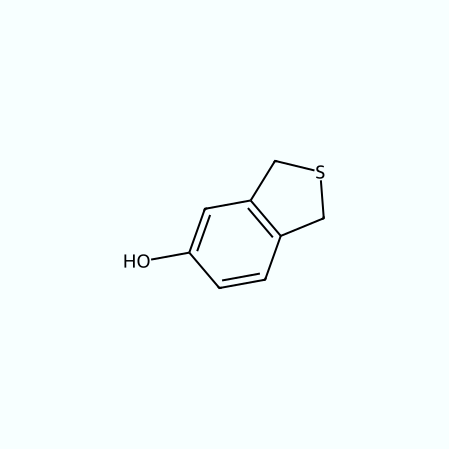 Oc1ccc2c(c1)CSC2